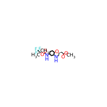 COC(=O)C[C@H]1CNc2cc(NC(=O)OC(C)(C)C(F)(F)F)ccc2O1